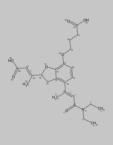 CCN(CC)C(=O)/C=C(\C)c1ccc(OCCCC(=O)O)c2c1CC(/C(C)=C/C(=O)O)O2